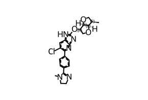 C[C@@H]1CO[C@H]2[C@@H]1OC[C@H]2Oc1nc2nc(-c3ccc(C4=NCCN4C)cc3)c(Cl)cc2[nH]1